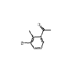 CC(=O)c1cccc(Br)c1C